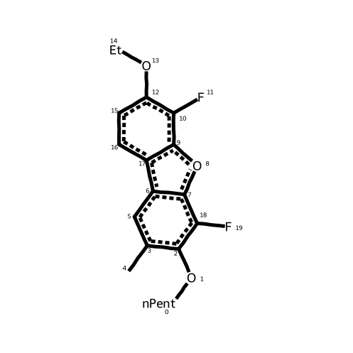 CCCCCOc1c(C)cc2c(oc3c(F)c(OCC)ccc32)c1F